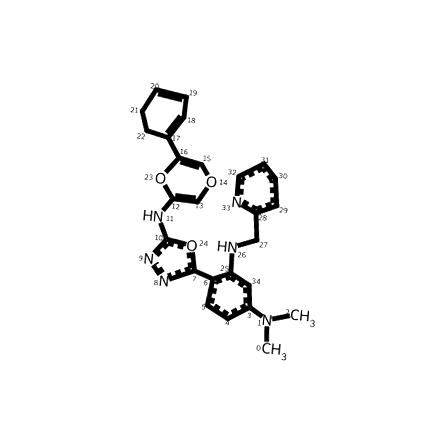 CN(C)c1ccc(-c2nnc(NC3=COC=C(C4=CC=CCC4)O3)o2)c(NCc2ccccn2)c1